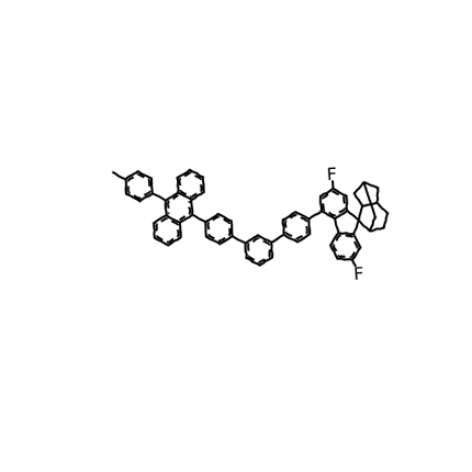 Cc1ccc(-c2c3ccccc3c(-c3ccc(-c4cccc(-c5ccc(-c6cc(F)cc7c6-c6ccc(F)cc6C76C7CCC8CC(C7)CC86)cc5)c4)cc3)c3ccccc23)cc1